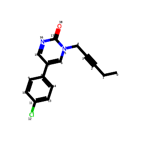 CCC#CCn1cc(-c2ccc(Cl)cc2)cnc1=O